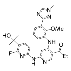 CCC(=O)c1cnc(Nc2ccc(C(C)(C)O)c(F)n2)cc1Nc1cccc(-c2ncn(C)n2)c1OC